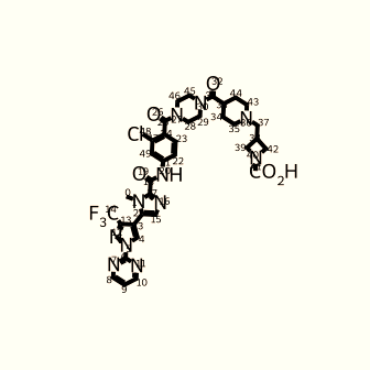 Cn1c(-c2cn(-c3ncccn3)nc2C(F)(F)F)cnc1C(=O)Nc1ccc(C(=O)N2CCN(C(=O)C3CCN(CC4CN(C(=O)O)C4)CC3)CC2)c(Cl)c1